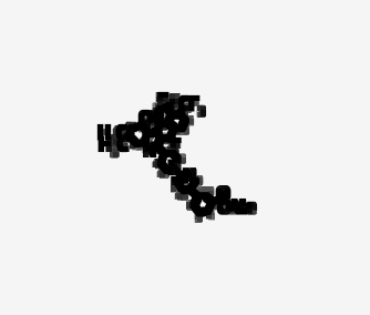 COC(=O)c1cccc(-c2cnc(N3CCC(c4nc5c(c(C6CCC(F)(F)CC6)c4C(F)c4ccc(C(F)(F)F)cc4)[C@@H](O)CC(C)(C)C5)CC3)nc2)c1